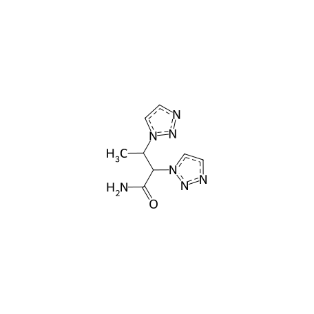 CC(C(C(N)=O)n1ccnn1)n1ccnn1